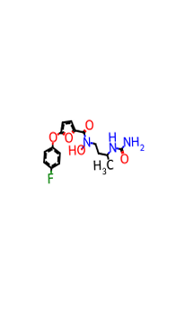 CC(CCN(O)C(=O)c1ccc(Oc2ccc(F)cc2)o1)NC(N)=O